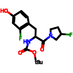 CC(C)(C)OC(=O)NC(Cc1ccc(O)cc1F)C(=O)N1CCC(F)C1